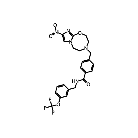 O=C(NCc1cccc(OC(F)(F)F)c1)c1ccc(CN2CCOc3nc([N+](=O)[O-])cn3CC2)cc1